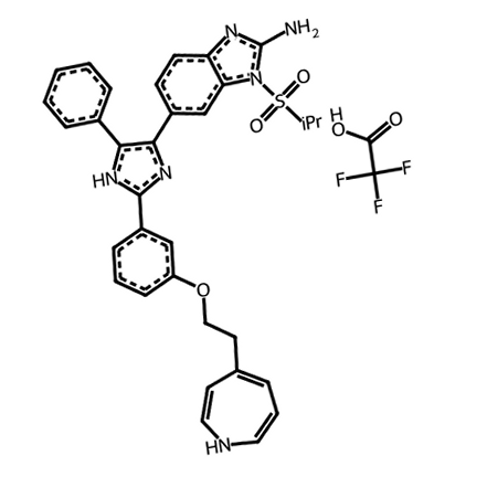 CC(C)S(=O)(=O)n1c(N)nc2ccc(-c3nc(-c4cccc(OCCC5=CC=CNC=C5)c4)[nH]c3-c3ccccc3)cc21.O=C(O)C(F)(F)F